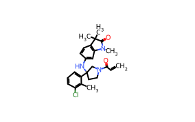 C=CC(=O)N1CC[C@](Nc2ccc3c(c2)N(C)C(=O)C3(C)C)(c2cccc(Cl)c2C)C1